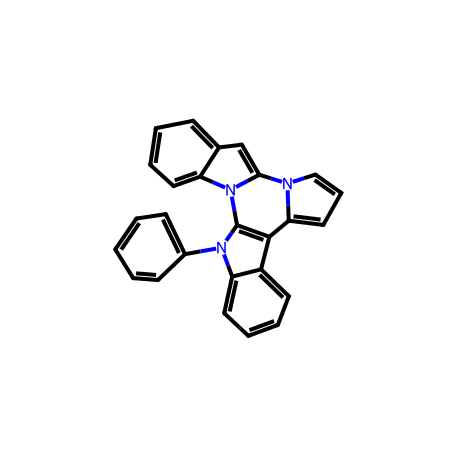 c1ccc(-n2c3ccccc3c3c4cccn4c4cc5ccccc5n4c32)cc1